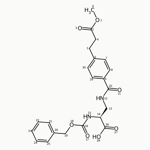 COC(=O)CCc1ccc(C(=O)NC[C@H](NC(=O)OCc2ccccc2)C(=O)O)cc1